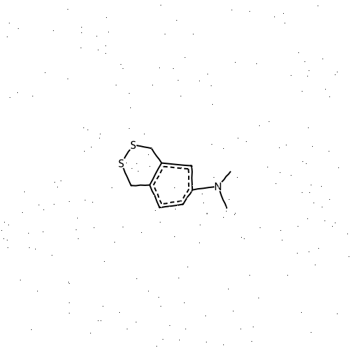 CN(C)c1ccc2c(c1)CSSC2